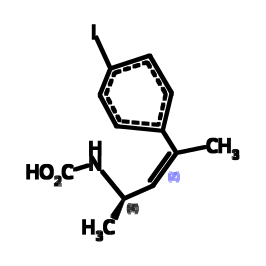 C/C(=C/[C@@H](C)NC(=O)O)c1ccc(I)cc1